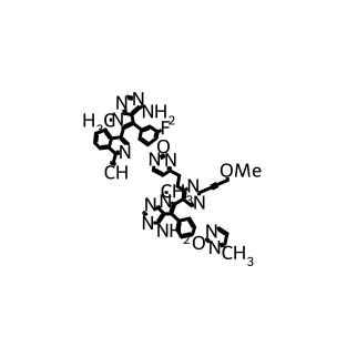 C#Cc1ncc(-c2c(-c3ccc(Oc4nccc(CCc5nc(C#CCOC)ncc5-c5c(-c6ccc(Oc7nccc(C)n7)cc6)c6c(N)ncnc6n5C)n4)c(F)c3)c3c(N)ncnc3n2C)c2ccccc12